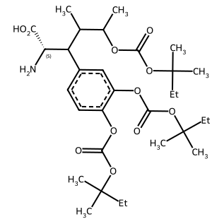 CCC(C)(C)OC(=O)Oc1ccc(C(C(C)C(C)OC(=O)OC(C)(C)CC)[C@H](N)C(=O)O)cc1OC(=O)OC(C)(C)CC